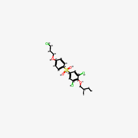 CC[C@@H](C)COc1c(Cl)cc(S(=O)(=O)c2ccc(OCCCCl)cc2)cc1Cl